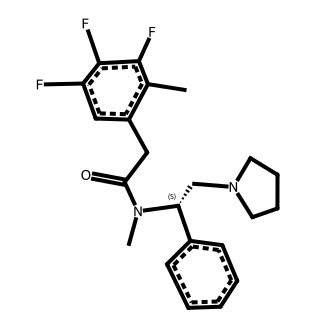 Cc1c(CC(=O)N(C)[C@H](CN2CCCC2)c2ccccc2)cc(F)c(F)c1F